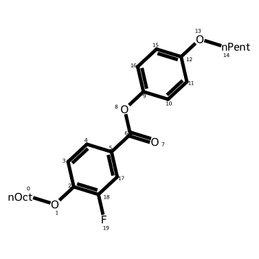 CCCCCCCCOc1ccc(C(=O)Oc2ccc(OCCCCC)cc2)cc1F